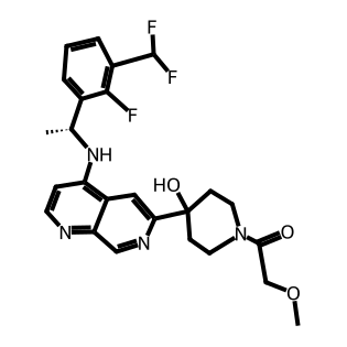 COCC(=O)N1CCC(O)(c2cc3c(N[C@H](C)c4cccc(C(F)F)c4F)ccnc3cn2)CC1